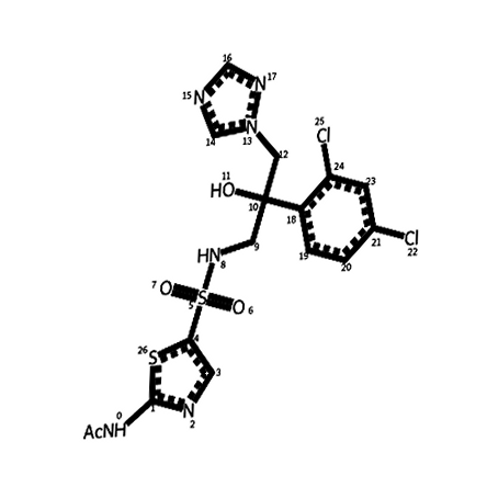 CC(=O)Nc1ncc(S(=O)(=O)NCC(O)(Cn2cncn2)c2ccc(Cl)cc2Cl)s1